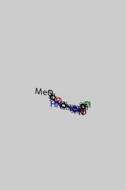 COC1CCC(CC(=O)NC2CCC(CCN3CCN(c4noc5cc(Cl)ccc45)CC3)CC2)CC1